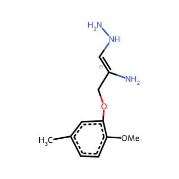 COc1ccc(C)cc1OC/C(N)=C/NN